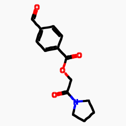 O=Cc1ccc(C(=O)OCC(=O)N2CCCC2)cc1